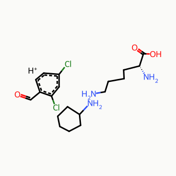 NC1CCCCC1.NCCCC[C@@H](N)C(=O)O.O=Cc1ccc(Cl)cc1Cl.[H+]